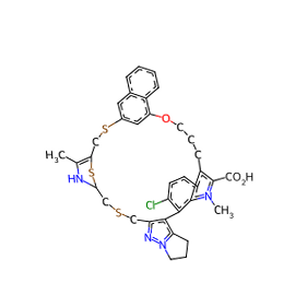 CC1=C2CSc3cc(c4ccccc4c3)OCCCc3c(C(=O)O)n(C)c4c(c(Cl)ccc34)-c3c(nn4c3CCC4)CSCC(N1)S2